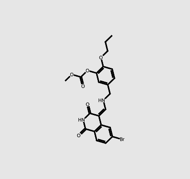 CCCOc1ccc(CNC=C2C(=O)NC(=O)c3ccc(Br)cc32)cc1OC(=O)OC